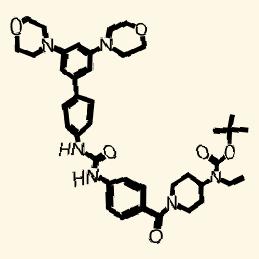 CCN(C(=O)OC(C)(C)C)C1CCN(C(=O)c2ccc(NC(=O)Nc3ccc(-c4cc(N5CCOCC5)cc(N5CCOCC5)c4)cc3)cc2)CC1